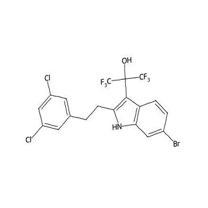 OC(c1c(CCc2cc(Cl)cc(Cl)c2)[nH]c2cc(Br)ccc12)(C(F)(F)F)C(F)(F)F